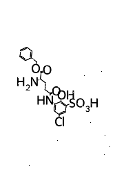 N[C@@H](CCC(=O)Nc1cc(Cl)cc(S(=O)(=O)O)c1O)C(=O)OCc1ccccc1